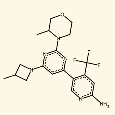 CC1CN(c2cc(-c3cnc(N)cc3C(F)(F)F)nc(N3CCOCC3C)n2)C1